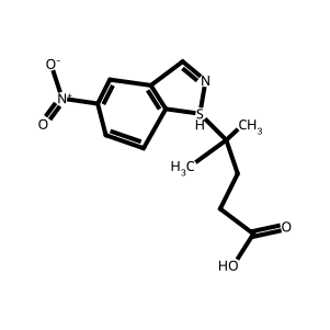 CC(C)(CCC(=O)O)[SH]1N=Cc2cc([N+](=O)[O-])ccc21